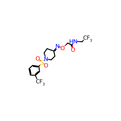 O=C(CON=C1CCN(S(=O)(=O)c2cccc(C(F)(F)F)c2)CC1)NCC(F)(F)F